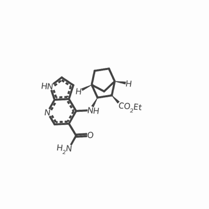 CCOC(=O)[C@@H]1[C@H]2CC[C@H](C2)[C@@H]1Nc1c(C(N)=O)cnc2[nH]ccc12